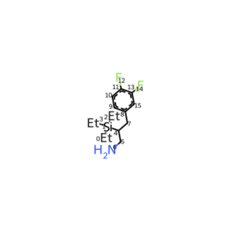 CC[Si](CC)(CC)C(CN)Cc1ccc(F)c(F)c1